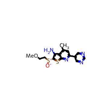 COCC[S+]([O-])c1sc2nc(-c3cncnc3)cc(C)c2c1N